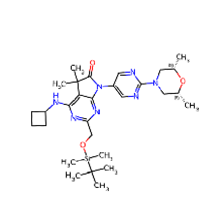 C[C@@H]1CN(c2ncc(N3C(=O)C(C)(C)c4c(NC5CCC5)nc(CO[Si](C)(C)C(C)(C)C)nc43)cn2)C[C@H](C)O1